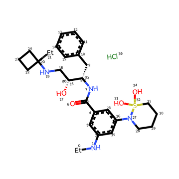 CCNc1cc(C(=O)N[C@@H](Cc2ccccc2)[C@H](O)CNC2(CC)CCC2)cc(N2CCCCS2(O)O)c1.Cl